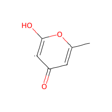 Cc1cc(=O)[c]c(O)o1